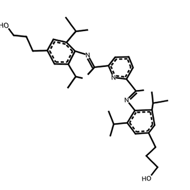 C/C(=N\c1c(C(C)C)cc(CCCO)cc1C(C)C)c1cccc(/C(C)=N/c2c(C(C)C)cc(CCCO)cc2C(C)C)n1